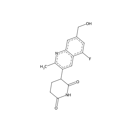 Cc1nc2cc(CO)cc(F)c2cc1C1CCC(=O)NC1=O